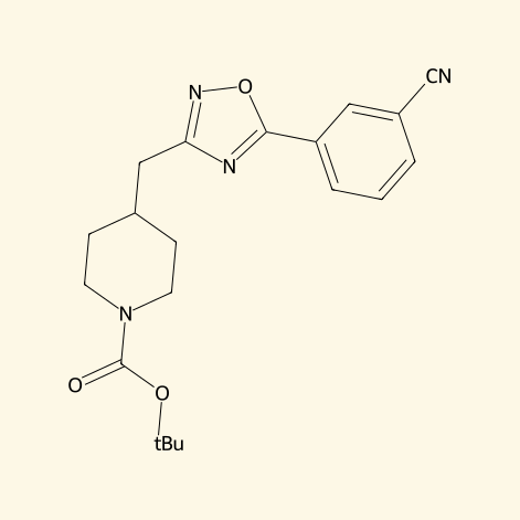 CC(C)(C)OC(=O)N1CCC(Cc2noc(-c3cccc(C#N)c3)n2)CC1